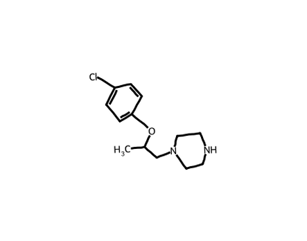 CC(CN1CCNCC1)Oc1ccc(Cl)cc1